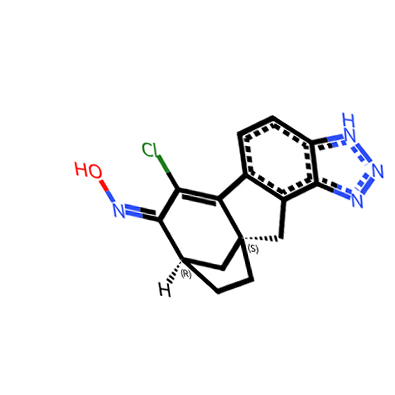 ON=C1C(Cl)=C2c3ccc4[nH]nnc4c3C[C@@]23CC[C@@H]1C3